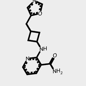 NC(=O)c1cccnc1NC1CC(Cc2cnco2)C1